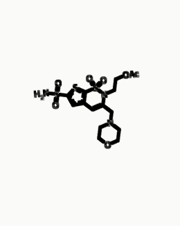 CC(=O)OCCN1C(CN2CCOCC2)=Cc2cc(S(N)(=O)=O)sc2S1(=O)=O